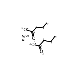 CCCC(=O)[O-].CCCC(=O)[O-].[Sr+2]